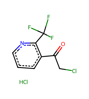 Cl.O=C(CCl)c1cccnc1C(F)(F)F